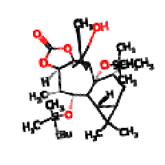 C[C@@H]1[C@H]2OC(=O)O[C@]23C[C@](C)(O)C=C3[C@]2(O[Si](C)(C)C)C([C@@H]3C(C[C@H]2C)C3(C)C)[C@@H]1O[Si](C)(C)C(C)(C)C